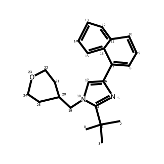 CC(C)(C)c1nc(-c2cccc3ccccc23)cn1CC1CCOCC1